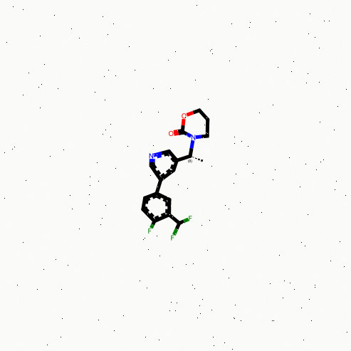 C[C@H](c1cncc(-c2ccc(F)c(C(F)F)c2)c1)N1CCCOC1=O